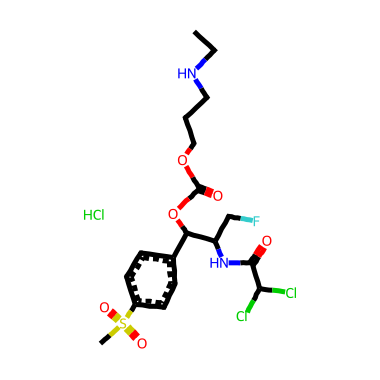 CCNCCCOC(=O)OC(c1ccc(S(C)(=O)=O)cc1)C(CF)NC(=O)C(Cl)Cl.Cl